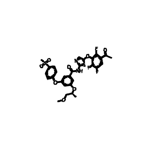 COC[C@H](C)Oc1cc(Oc2ccc(S(C)(=O)=O)cc2)cc(C(=O)Nc2ncc(Oc3c(F)c(F)cc(C(C)=O)c3F)s2)c1